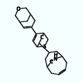 C1=C(C2=CC3SCC2CC3C2CC3C/C=C\CC(C2)NC3)CC2COCC1C2